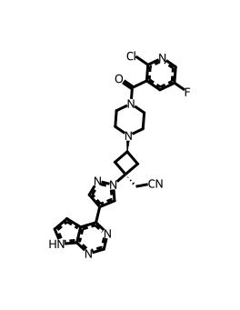 N#CC[C@]1(n2cc(-c3ncnc4[nH]ccc34)cn2)C[C@@H](N2CCN(C(=O)c3cc(F)cnc3Cl)CC2)C1